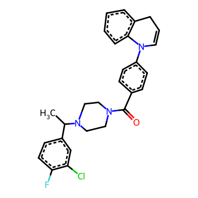 CC(c1ccc(F)c(Cl)c1)N1CCN(C(=O)c2ccc(N3C=CCc4ccccc43)cc2)CC1